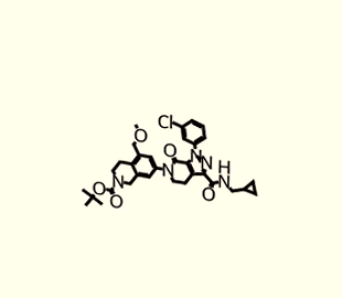 COCc1cc(N2CCc3c(C(=O)NCC4CC4)nn(-c4cccc(Cl)c4)c3C2=O)cc2c1CCN(C(=O)OC(C)(C)C)C2